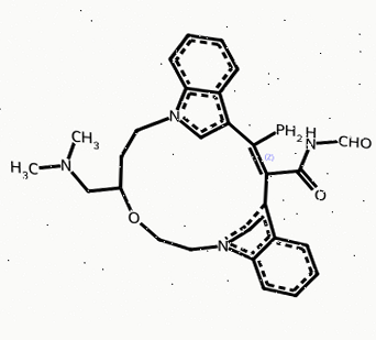 CN(C)CC1CCn2cc(c3ccccc32)/C(P)=C(/C(=O)NC=O)c2cn(c3ccccc23)CCO1